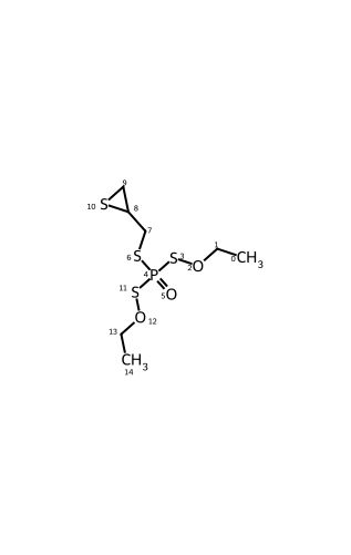 CCOSP(=O)(SCC1CS1)SOCC